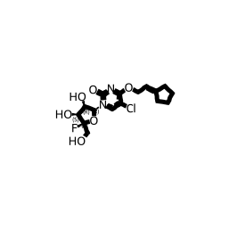 O=c1nc(OCC=C2CCCC2)c(Cl)cn1[C@@H]1O[C@](F)(CO)[C@@H](O)[C@H]1O